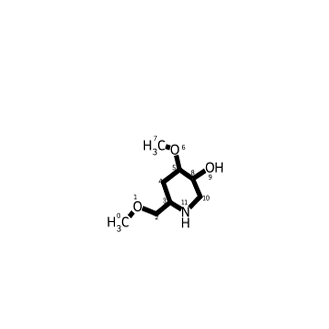 COCC1CC(OC)C(O)CN1